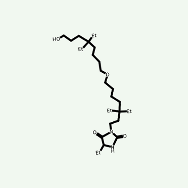 CCC1NC(=O)N(CCC(CC)(CC)CCCCOCCCCC(CC)(CC)CCCO)C1=O